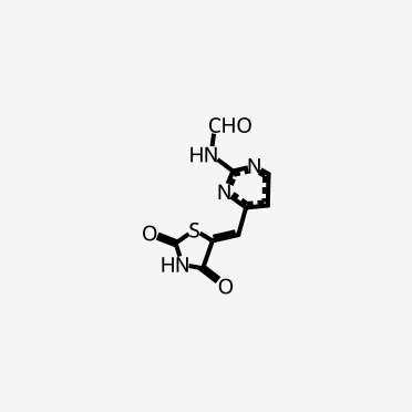 O=CNc1nccc(/C=C2\SC(=O)NC2=O)n1